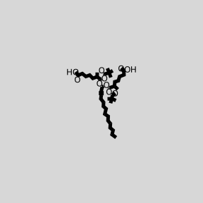 CCCCCCCCCCCCC#CC(OC(OC(=O)C(C)(C)C)C(C)CCCCC(=O)O)OC(OC(=O)C(C)(C)C)C(C)CCCCC(=O)O